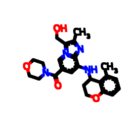 Cc1cccc2c1C(Nc1cc(C(=O)N3CCOCC3)cn3c(CO)c(C)nc13)CCO2